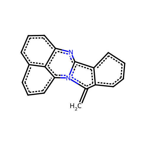 C=c1c2ccccc2c2nc3cccc4cccc(c43)n12